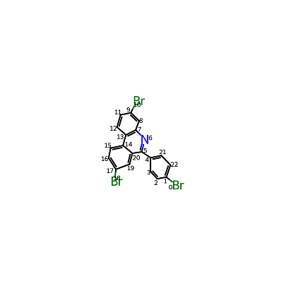 Brc1ccc(-c2nc3cc(Br)ccc3c3ccc(Br)cc23)cc1